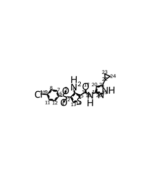 Nc1c(S(=O)(=O)c2ccc(Cl)cc2)csc1C(=O)Nc1cc(C2CC2)[nH]n1